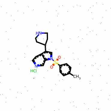 Cc1ccc(S(=O)(=O)n2cc(C3CCNCC3)c3ccncc32)cc1.Cl